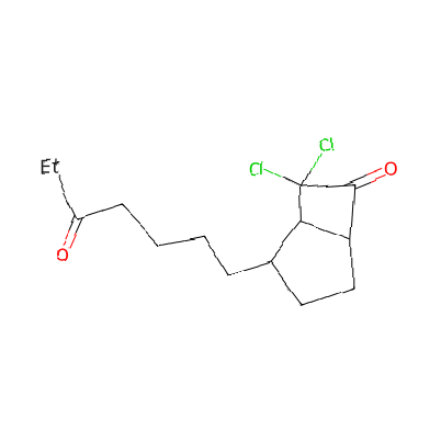 CCC(=O)CCCCC1CCC2C(=O)C(Cl)(Cl)C12